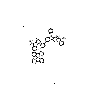 CC1(C)c2ccccc2-c2cc3c4cc(-c5ccc(N(c6cccc7c6-c6ccccc6C7(C)C)c6cccc7c6-c6ccccc6C76c7ccccc7-c7ccccc76)cc5)ccc4n(-c4ccccc4)c3cc21